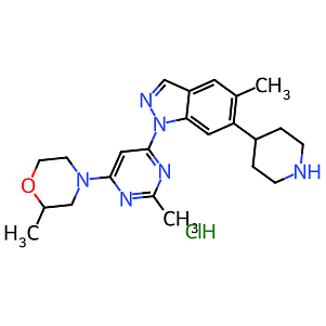 Cc1nc(N2CCOC(C)C2)cc(-n2ncc3cc(C)c(C4CCNCC4)cc32)n1.Cl